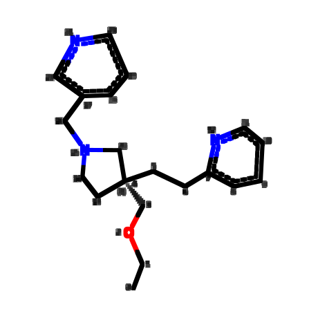 CCOC[C@]1(CCc2ccccn2)CCN(Cc2cccnc2)C1